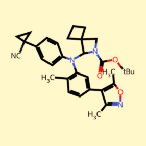 Cc1ccc(-c2c(C)noc2C)cc1N(c1ccc(C2(C#N)CC2)cc1)C1N(C(=O)OC(C)(C)C)CC12CCC2